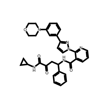 O=C(CC(NC(=O)c1cccnc1-n1ccc(-c2cccc(N3CCOCC3)c2)n1)c1ccccc1)C(=O)NC1CC1